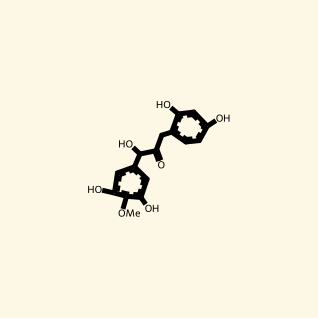 COc1c(O)cc(C(O)C(=O)Cc2ccc(O)cc2O)cc1O